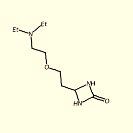 CCN(CC)CCOCCC1NC(=O)N1